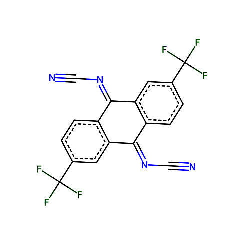 N#C/N=C1\c2ccc(C(F)(F)F)cc2/C(=N/C#N)c2ccc(C(F)(F)F)cc21